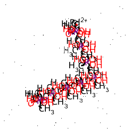 CCC(O)P(C(O)CC)C(O)CC.CCC(O)P(C(O)CC)C(O)CC.CCC(O)P(C(O)CC)C(O)CC.CCC(O)P(C(O)CC)C(O)CC.CCC(O)P(C(O)CC)C(O)CC.CCC(O)P(C(O)CC)C(O)CC.CCC(O)[PH](CC(=O)[O-])(C(O)CC)C(O)CC.CCC(O)[PH](CC(=O)[O-])(C(O)CC)C(O)CC.[Pd+2]